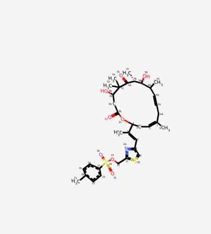 C/C1=C/CC(/C(C)=C/c2csc(COS(=O)(=O)c3ccc(C)cc3)n2)OC(=O)CC(O)C(C)(C)C(=O)[C@H](C)C(O)C(C)/C=C/C1